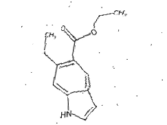 CCOC(=O)c1cc2cc[nH]c2cc1CC